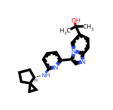 CC(C)(O)c1ccc2ncc(-c3cccc(N[C@H]4CCCC45CC5)n3)n2c1